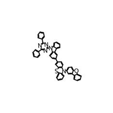 c1ccc(-c2nc(-c3ccccc3)nc(-n3c4ccccc4c4cc(-c5ccc6c(c5)Sc5ccccc5N6c5ccc6oc7ccccc7c6c5)ccc43)n2)cc1